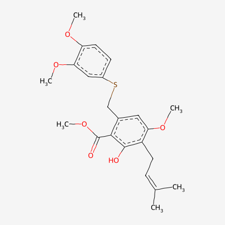 COC(=O)c1c(CSc2ccc(OC)c(OC)c2)cc(OC)c(CC=C(C)C)c1O